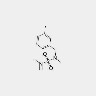 CNS(=O)(=O)N(C)Cc1cccc(C)c1